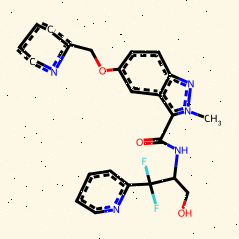 Cn1nc2ccc(OCc3ccccn3)cc2c1C(=O)NC(CO)C(F)(F)c1ccccn1